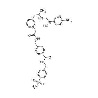 CC(Cc1cccc(CC(=O)NCc2ccc(C(=O)NCc3ccc(S(N)(=O)=O)cc3)cc2)c1)NC[C@@H](O)c1ccc(N)nc1